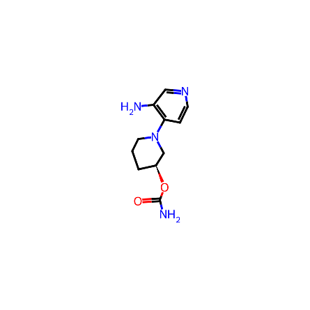 NC(=O)O[C@H]1CCCN(c2ccncc2N)C1